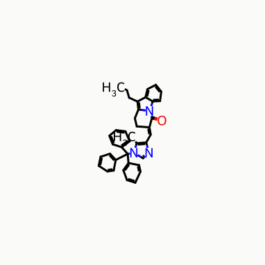 CCCc1c2n(c3ccccc13)C(=O)C(=Cc1ncn(C(c3ccccc3)(c3ccccc3)c3ccccc3)c1C)CC2